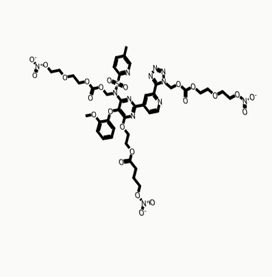 COc1ccccc1Oc1c(OCCOC(=O)CCCO[N+](=O)[O-])nc(-c2ccnc(-c3nnnn3COC(=O)OCCOCCO[N+](=O)[O-])c2)nc1N(COC(=O)OCCOCCO[N+](=O)[O-])S(=O)(=O)c1ccc(C)cn1